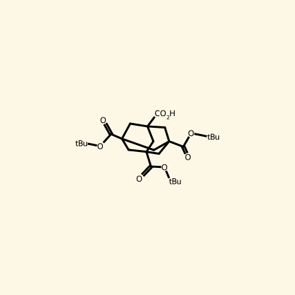 CC(C)(C)OC(=O)C12CC3(C(=O)O)CC(C(=O)OC(C)(C)C)(C1)CC(C(=O)OC(C)(C)C)(C3)C2